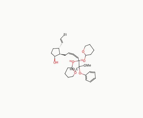 CC/C=C/[C@H]1CC[C@H](O)[C@@H]1CC=C=CC([16O]C1CCCCO1)([16O]C1CCCCO1)C(OC)(Oc1ccccc1)C(=O)O